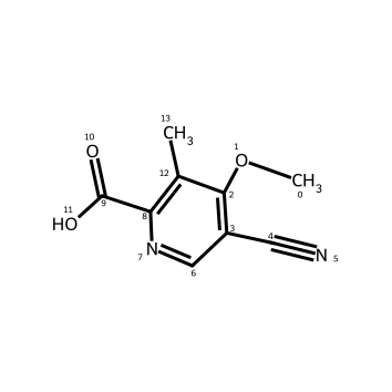 COc1c(C#N)cnc(C(=O)O)c1C